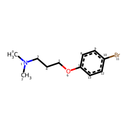 CN(C)CCCOc1ccc(Br)cc1